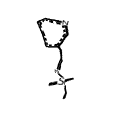 C[Si](C)(C)N=Cc1cccnc1